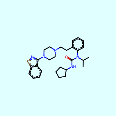 CC(C)N(C(=O)NC1CCCC1)c1ccccc1CCN1CCN(c2nsc3ccccc23)CC1